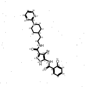 O=C(Nc1[nH]nc(C(=O)NCCC2CCN(c3ncccn3)CC2)c1Br)c1ccccc1Cl